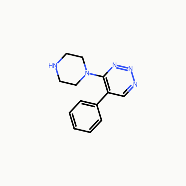 c1ccc(-c2cnnnc2N2CCNCC2)cc1